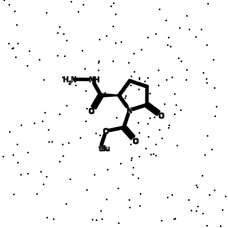 CC(C)(C)OC(=O)N1C(=O)CC[C@@H]1C(=O)NN